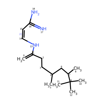 C=C(CCC(C)CC(C)C(C)(C)C)N/C=C\C(=N)N